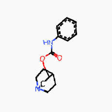 O=C(Nc1ccccc1)OC1CN2CCC1CC2